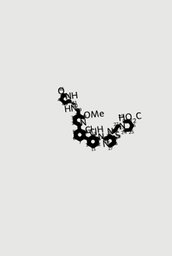 COc1nc(-c2cccc(-c3cccc(Nc4nccc5sc(CN6CCCCC6C(=O)O)nc45)c3Cl)c2Cl)ccc1CNC[C@@H]1CCC(=O)N1